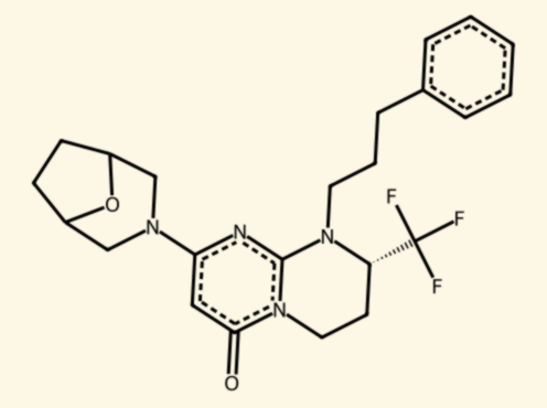 O=c1cc(N2CC3CCC(C2)O3)nc2n1CC[C@@H](C(F)(F)F)N2CCCc1ccccc1